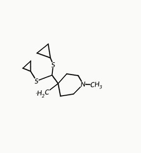 [CH2]C1(C(SC2CC2)SC2CC2)CCN(C)CC1